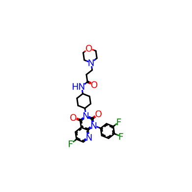 O=C(CCN1CCOCC1)NC1CCC(n2c(=O)c3cc(F)cnc3n(-c3ccc(F)c(F)c3)c2=O)CC1